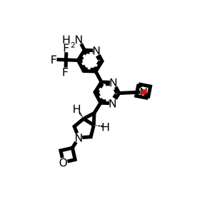 Nc1ncc(-c2cc(C3[C@H]4CN(C5COC5)C[C@@H]34)nc(N3CC4CC3C4)n2)cc1C(F)(F)F